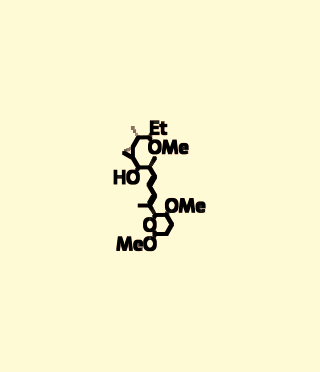 CC[C@H](OC)[C@@H](C)[C@H]1CC1[C@H](O)[C@@H](C)/C=C/C=C(\C)[C@@H]1O[C@H](OC)CC[C@@H]1OC